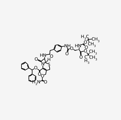 CC(C)(C)OC(=O)N[C@H](COC(=O)Nc1ccc(CC(=O)N[C@@H]2C(=O)N3C(C(=O)OC(c4ccccc4)c4ccccc4)=C(COC(N)=O)CS[C@@H]23)cc1)C(=O)OC(C)(C)C